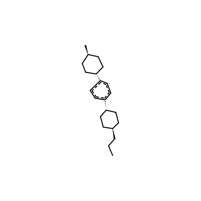 CCC[C@H]1CC[C@H](c2ccc([C@H]3CC[C@H](C)CC3)cc2)CC1